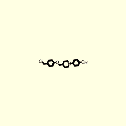 Oc1ccc(N2CCC(COc3ccc(CCl)cc3)CC2)cc1